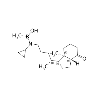 CB(O)N(CCC[C@@H](C)[C@H]1CC[C@H]2C(=O)CCC[C@]12C)C1CC1